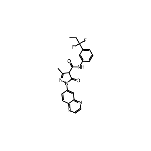 CCC(F)(F)c1cccc(NC(=O)C2C(=O)N(c3ccc4nccnc4c3)N=C2C)c1